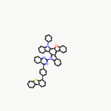 c1ccc(-n2c3ccccc3c3c2c2oc4ccccc4c2c2c4ccccc4n(-c4nc(-c5ccc(-c6cccc7c6sc6ccccc67)cc5)c5ccccc5n4)c23)cc1